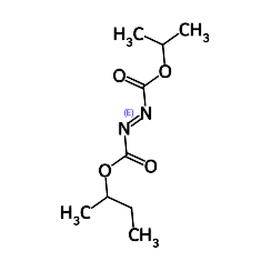 CCC(C)OC(=O)/N=N/C(=O)OC(C)C